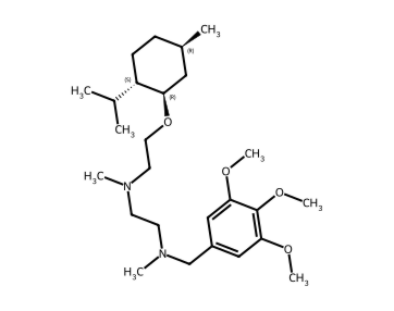 COc1cc(CN(C)CCN(C)CCO[C@@H]2C[C@H](C)CC[C@H]2C(C)C)cc(OC)c1OC